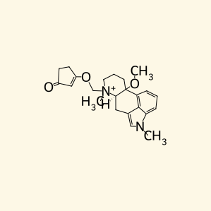 COC12CCC[N+](C)(COC3=CC(=O)CC3)[C@@H]1Cc1cn(C)c3cccc2c13